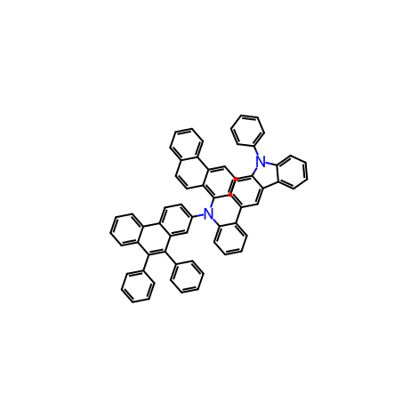 c1ccc(-c2c(-c3ccccc3)c3cc(N(c4ccccc4-c4ccc5c(c4)c4ccccc4n5-c4ccccc4)c4cccc5c4ccc4ccccc45)ccc3c3ccccc23)cc1